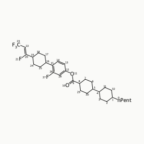 CCCCCC1CCC(C2CCC(C(=O)Oc3ccc(C4CCC(/C(F)=C/C(F)(F)F)CC4)c(F)c3)CC2)CC1